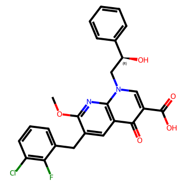 COc1nc2c(cc1Cc1cccc(Cl)c1F)c(=O)c(C(=O)O)cn2C[C@H](O)c1ccccc1